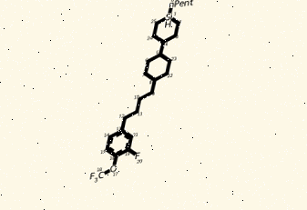 CCCCC[SiH]1CCC(C2CCC(CCCCc3ccc(OC(F)(F)F)c(F)c3)CC2)CC1